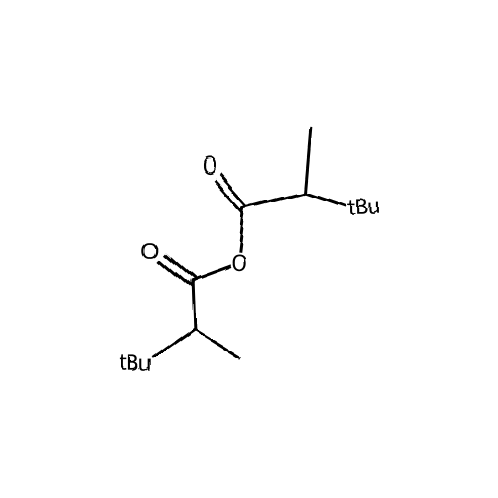 CC(C(=O)OC(=O)C(C)C(C)(C)C)C(C)(C)C